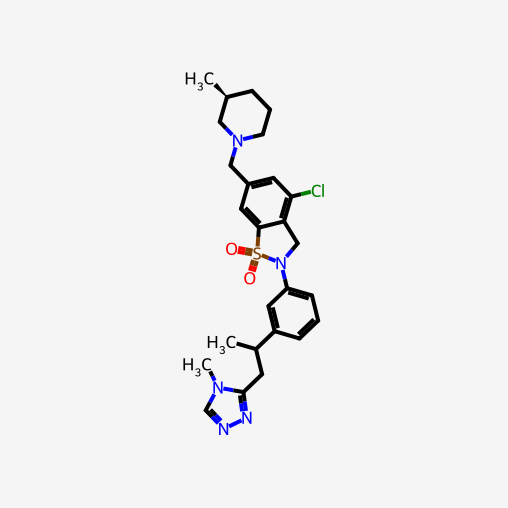 CC(Cc1nncn1C)c1cccc(N2Cc3c(Cl)cc(CN4CCC[C@H](C)C4)cc3S2(=O)=O)c1